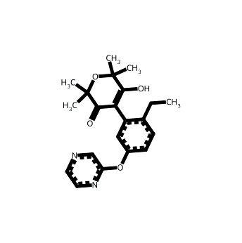 CCc1ccc(Oc2cnccn2)cc1C1=C(O)C(C)(C)OC(C)(C)C1=O